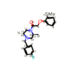 CSc1ccccc1OCC(=O)N1C[C@@H](C)N(Cc2ccc(F)cc2)C[C@@H]1C